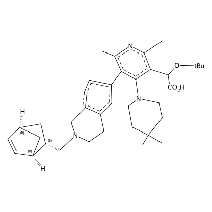 Cc1nc(C)c(C(OC(C)(C)C)C(=O)O)c(N2CCC(C)(C)CC2)c1-c1ccc2c(c1)CCN(C[C@H]1C[C@@H]3C=C[C@H]1C3)C2